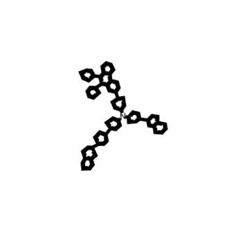 c1ccc(-c2c(-c3ccccc3)c3cc(-c4ccc(N(c5ccc(-c6ccc(-c7ccc8ccccc8c7)cc6)cc5)c5ccc(-c6ccc7ccccc7c6)cc5)cc4)ccc3c3ccccc23)cc1